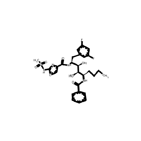 CCCC[C@@H](NC(=O)c1ccccc1)[C@@H](O)[C@H](O)[C@H](Cc1cc(F)cc(F)c1)NC(=O)c1coc(NS(C)(=O)=O)n1